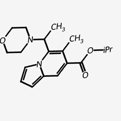 Cc1c(C(=O)OC(C)C)cc2cccn2c1C(C)N1CCOCC1